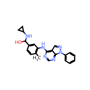 Cc1ccc(C(O)NC2CC2)cc1Nc1ncnc2c1cnn2-c1ccccc1